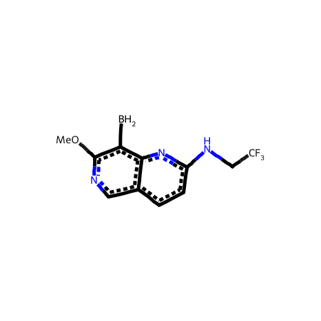 Bc1c(OC)ncc2ccc(NCC(F)(F)F)nc12